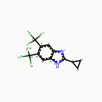 FC(F)(F)c1cc2nc(C3CC3)[nH]c2cc1C(F)(F)F